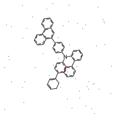 C1=CCCC(c2ccc(N(c3ccc(-c4cc5ccccc5c5ccccc45)cc3)c3ccccc3-c3ccccc3)cc2)=C1